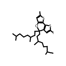 Cc1cc2c(s1)-c1sc(I)cc1C(CCC(C)CCCC(C)C)(CCC(C)CCCC(C)C)O2